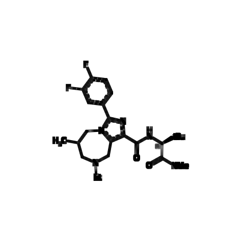 CCN1Cc2c(C(=O)N[C@H](C(=O)NC)C(C)(C)C)nc(-c3ccc(F)c(F)c3)n2CC(C)C1